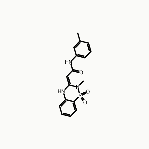 Cc1cccc(NC(=O)/C=C2/Nc3ccccc3S(=O)(=O)N2C)c1